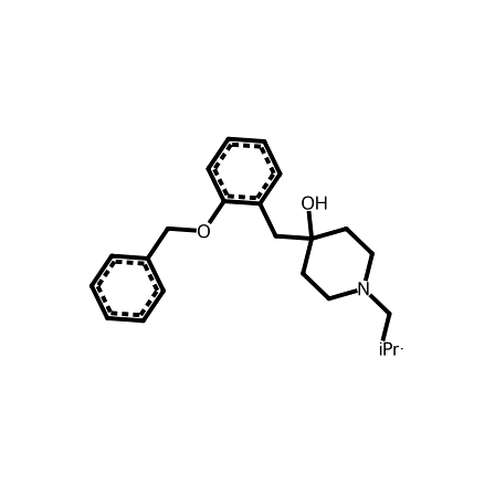 C[C](C)CN1CCC(O)(Cc2ccccc2OCc2ccccc2)CC1